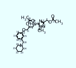 CC(=O)OCc1nc(NCC(COc2cccc(CN3CCCCC3)c2)OC(C)=O)n(C)n1